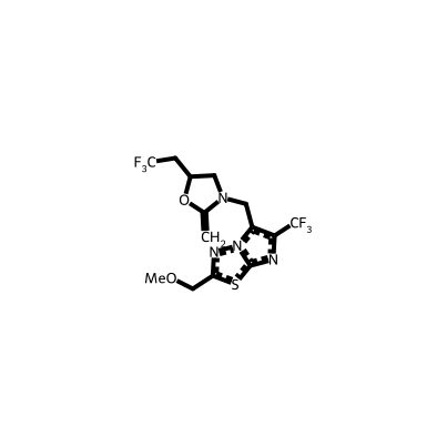 C=C1OC(CC(F)(F)F)CN1Cc1c(C(F)(F)F)nc2sc(COC)nn12